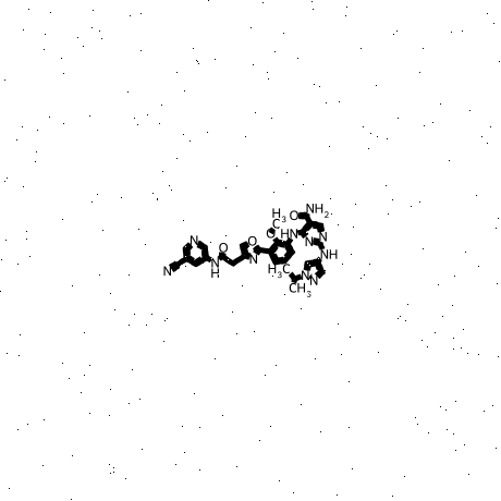 COc1c(Nc2nc(Nc3cnn(C(C)C)c3)ncc2C(N)=O)cccc1-c1nc(CC(=O)Nc2cncc(C#N)c2)co1